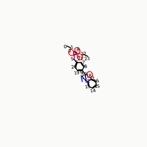 CCOP(=O)(Cc1ccc(-c2nc3ccccc3o2)cc1)OCC